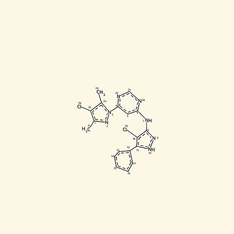 Cc1nn(-c2cc(Nc3n[nH]c(-c4ccccc4)c3Cl)ncn2)c(C)c1Cl